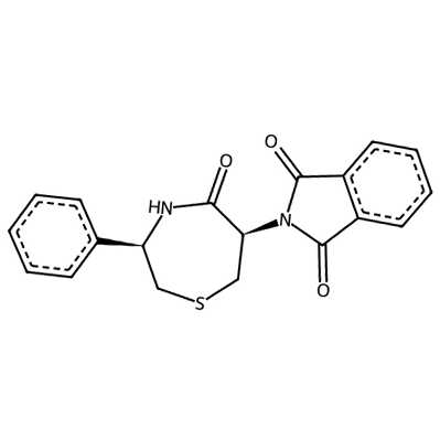 O=C1N[C@H](c2ccccc2)CSC[C@@H]1N1C(=O)c2ccccc2C1=O